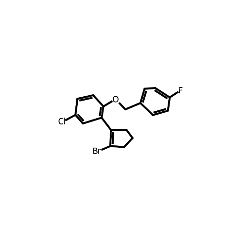 Fc1ccc(COc2ccc(Cl)cc2C2=C(Br)CCC2)cc1